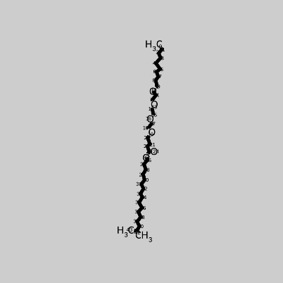 CCCCCCCCCCOCCOCCOCCOCCCC(=O)OCCCCCCCCCCCCCCCC(C)C